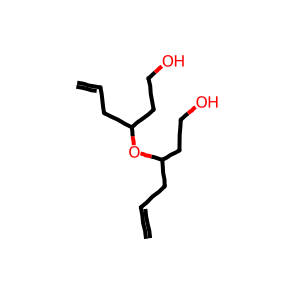 C=CCC(CCO)OC(CC=C)CCO